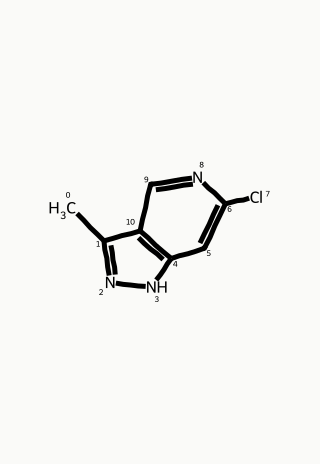 Cc1n[nH]c2cc(Cl)ncc12